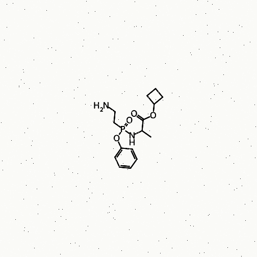 CC(NP(=O)(CCN)Oc1ccccc1)C(=O)OC1CCC1